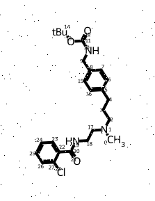 CN(CCCc1ccc(CNC(=O)OC(C)(C)C)cc1)CCNC(=O)c1ccccc1Cl